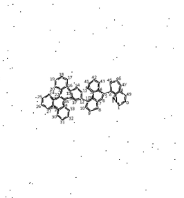 c1cnc2c(-c3cc4cccc(-c5ccc6c7ccccc7c7c8ccccc8c8ccccc8c7c6c5)c4c4ccccc34)cccc2c1